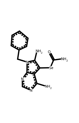 NC(=O)[Se]c1c(N)n(Cc2ccccc2)c2ncnc(N)c12